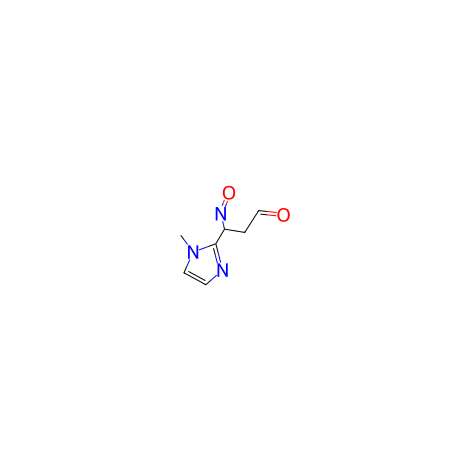 Cn1ccnc1C(CC=O)N=O